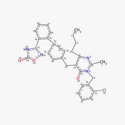 CCCCc1nc(C)n(Cc2ccccc2Cl)c(=O)c1Cc1ccc(-c2ccccc2-c2noc(=O)[nH]2)cc1